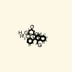 CC1(C)CC(=O)CC(C)(C)P1c1ccccc1-c1ccc2ccccc2c1C=O